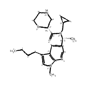 CCCCc1cn(C)c2ncc([C@@H](C)N(C(=O)[C@H]3CNCCO3)C3CC3)cc12